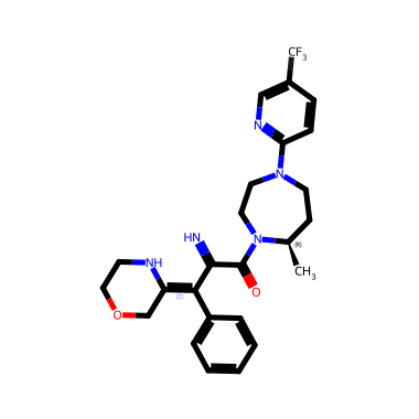 C[C@@H]1CCN(c2ccc(C(F)(F)F)cn2)CCN1C(=O)C(=N)/C(=C1/COCCN1)c1ccccc1